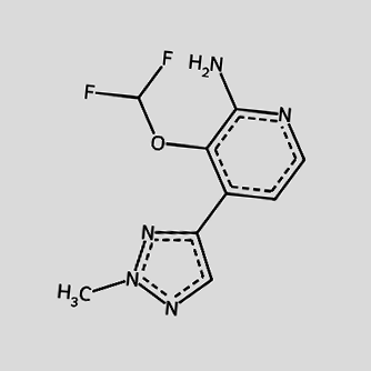 Cn1ncc(-c2ccnc(N)c2OC(F)F)n1